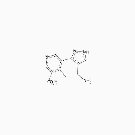 Cc1c(C(=O)O)cncc1-c1n[nH]cc1CN